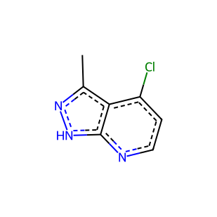 Cc1n[nH]c2nccc(Cl)c12